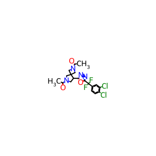 CC(=O)N1CC(c2nnc(C(F)(F)c3ccc(Cl)c(Cl)c3)o2)C2(C1)CN(C(C)=O)C2